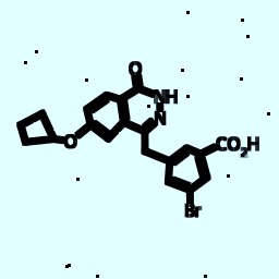 O=C(O)c1cc(Br)cc(Cc2n[nH]c(=O)c3ccc(OC4CCC4)cc23)c1